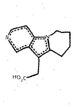 O=C(O)Cc1c2n(c3ccncc13)CCCC2